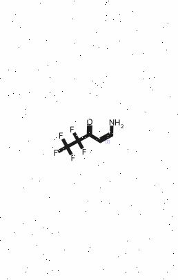 N/C=C\C(=O)C(F)(F)C(F)(F)F